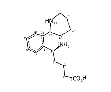 N[C@@H](CCCC(=O)O)c1ccccc1C1CCCCN1